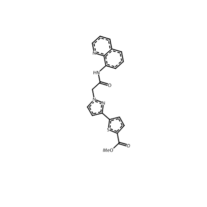 COC(=O)c1ccc(-c2ccn(CC(=O)Nc3cccc4cccnc34)n2)s1